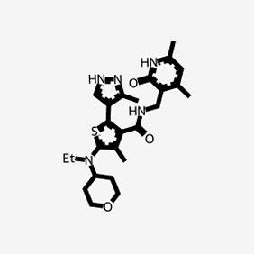 CCN(c1sc(-c2c[nH]nc2C)c(C(=O)NCc2c(C)cc(C)[nH]c2=O)c1C)C1CCOCC1